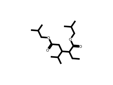 CCC(C(=O)OCC(C)C)C(CC(=O)OCC(C)C)C(C)C